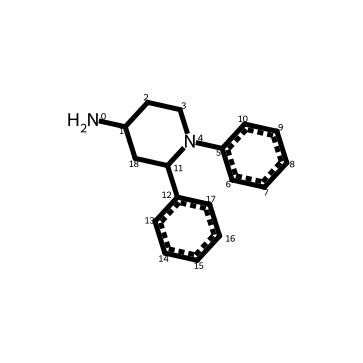 NC1CCN(c2ccccc2)C(c2ccccc2)C1